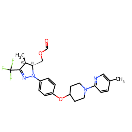 Cc1ccc(N2CCC(Oc3ccc(N4N=C(C(F)(F)F)[C@@H](C)[C@@H]4COC=O)cc3)CC2)nc1